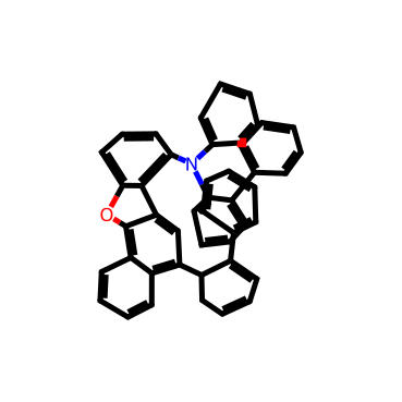 C1=CCC(c2cc3c(oc4cccc(N(c5ccccc5)c5ccccc5-c5ccccc5)c43)c3ccccc23)C(c2ccccc2)=C1